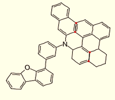 C1=CCC(N(c2cccc(-c3cccc4c3oc3ccccc34)c2)c2ccc3ccccc3c2)C(c2cccc3cccc(C4CCCCC4)c23)=C1